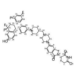 O=C1CC[C@H](N2Cc3cc(N4CCN(CC5CCN(c6ccc([C@@H]7c8ccc(O)cc8C(F)(F)C[C@@H]7c7ccc(F)cc7F)cc6)CC5)CC4)ccc3C2=O)C(=O)N1